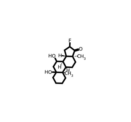 C[C@]12CC[C@@H]3[C@@H](C(O)CC4(O)CCCC[C@]34C)[C@@H]1CC(F)C2=O